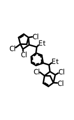 CCC(c1cccc(C(CC)C2C(Cl)C3(Cl)C=CC2(Cl)C3)c1)C1C(Cl)C2(Cl)C=CC1(Cl)C2